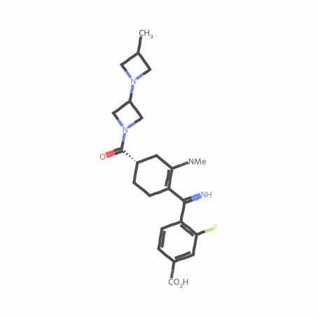 CNC1=C(C(=N)c2ccc(C(=O)O)cc2F)CC[C@H](C(=O)N2CC(N3CC(C)C3)C2)C1